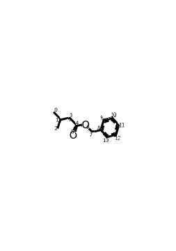 CC(C)[CH]C(=O)OCc1ccccc1